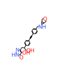 O=c1[nH]cnc(CC(CO)c2ccc(C#Cc3ccc(CNC4C5COCC54)cc3)cc2)c1O